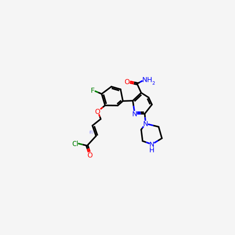 NC(=O)c1ccc(N2CCNCC2)nc1-c1ccc(F)c(OC/C=C/C(=O)Cl)c1